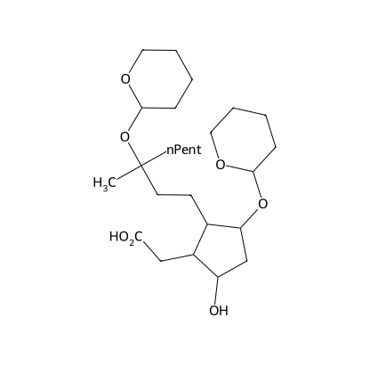 CCCCCC(C)(CCC1C(OC2CCCCO2)CC(O)C1CC(=O)O)OC1CCCCO1